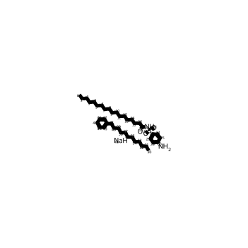 CCCCCCCCCCCCCCCCCC(=O)NS(=O)(=O)c1ccc(N)cc1.CCCCCCCCCCCCc1ccccc1.[NaH]